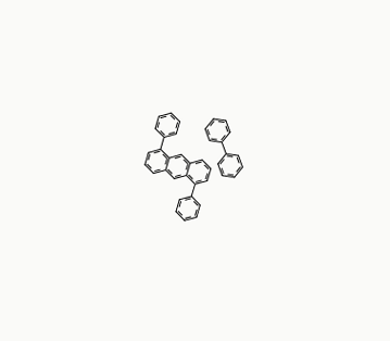 c1ccc(-c2cccc3cc4c(-c5ccccc5)cccc4cc23)cc1.c1ccc(-c2ccccc2)cc1